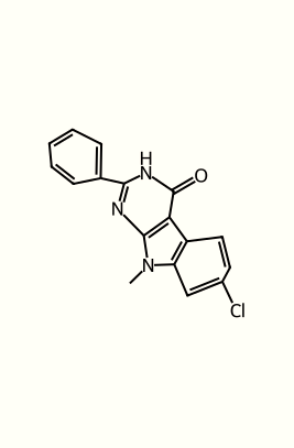 Cn1c2cc(Cl)ccc2c2c(=O)[nH]c(-c3ccccc3)nc21